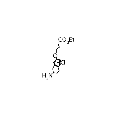 CCOC(=O)CCCCOc1ccc2c(c1)CC(N)CC2.Cl